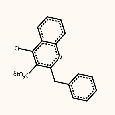 CCOC(=O)c1c(Cc2ccccc2)nc2ccccc2c1Cl